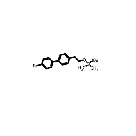 CC(C)(C)[Si](C)(C)OCCc1ccc(-c2ccc(Br)cc2)cc1